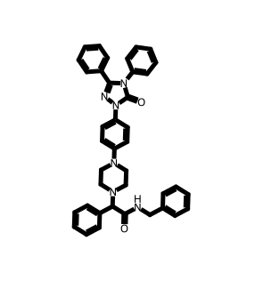 O=C(NCc1ccccc1)C(c1ccccc1)N1CCN(c2ccc(-n3nc(-c4ccccc4)n(-c4ccccc4)c3=O)cc2)CC1